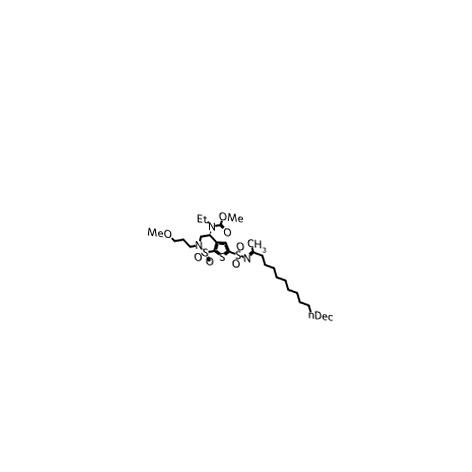 CCCCCCCCCCCCCCCCCCC/C(C)=N/S(=O)(=O)c1cc2c(s1)S(=O)(=O)N(CCCOC)C[C@@H]2N(CC)C(=O)OC